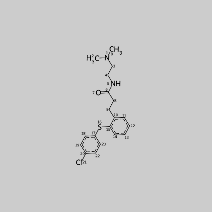 CN(C)CCNC(=O)CCc1ccccc1Sc1ccc(Cl)cc1